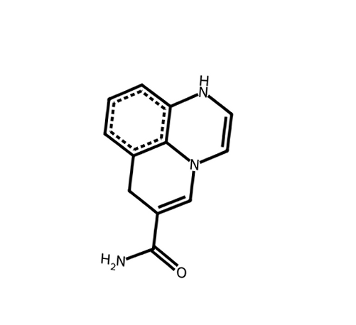 NC(=O)C1=CN2C=CNc3cccc(c32)C1